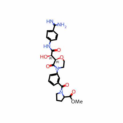 COC(=O)C1CCCN1C(=O)c1cccc(N2CCO[C@H]([C@@H](O)C(=O)Nc3ccc(C(=N)N)cc3)C2=O)c1